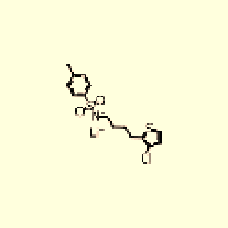 Cc1ccc(S(=O)(=O)[N-]CCCCc2sccc2Cl)cc1.[Li+]